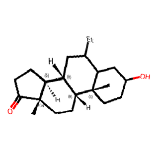 CCC1C[C@@H]2[C@@H](CC[C@]3(C)C(=O)CC[C@@H]23)[C@@]2(C)CCC(O)CC12